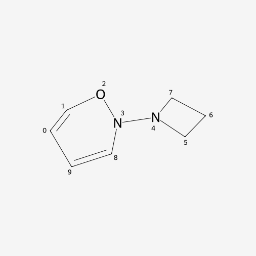 C1=CON(N2CCC2)C=C1